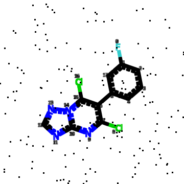 Fc1cccc(-c2c(Cl)nc3ncnn3c2Cl)c1